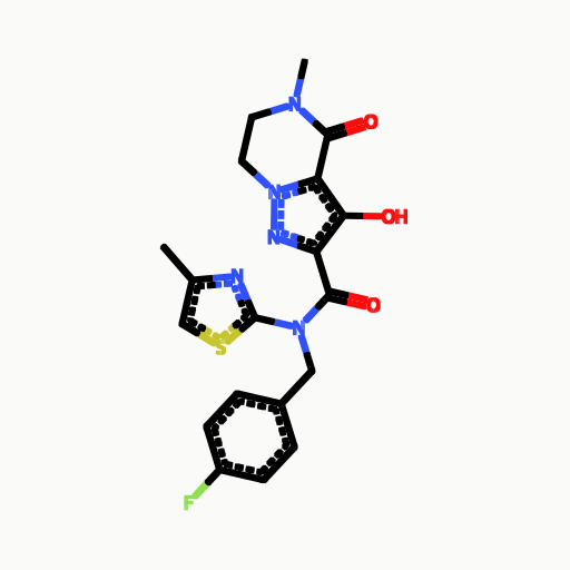 Cc1csc(N(Cc2ccc(F)cc2)C(=O)c2nn3c(c2O)C(=O)N(C)CC3)n1